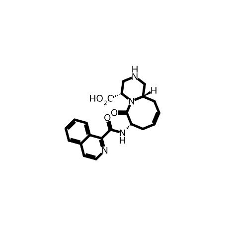 O=C(N[C@H]1CC=CC[C@H]2CNC[C@@H](C(=O)O)N2C1=O)c1nccc2ccccc12